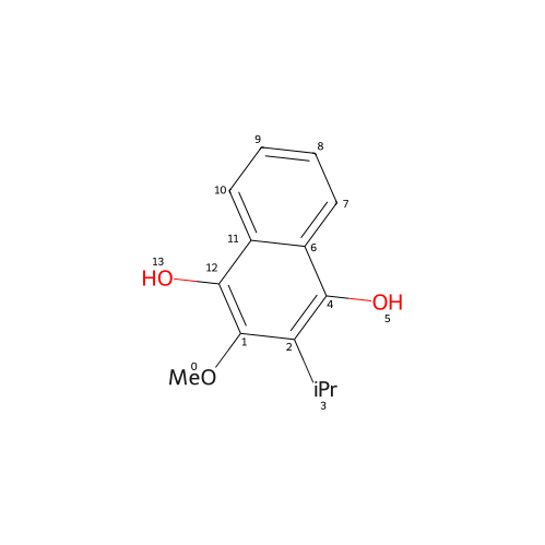 COc1c(C(C)C)c(O)c2ccccc2c1O